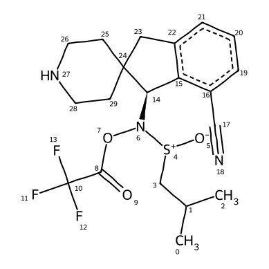 CC(C)C[S+]([O-])N(OC(=O)C(F)(F)F)[C@@H]1c2c(C#N)cccc2CC12CCNCC2